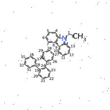 CCn1c2ccccc2c2ccccc21.c1ccc(-c2ccccc2-c2ccccc2)cc1